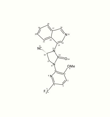 COc1ccc(C(F)(F)F)nc1N1C[C@H](C#N)N(c2cncc3ccccc23)C1=O